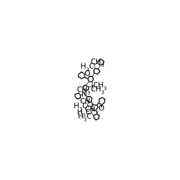 Cc1cccc(C)c1N(c1ccc2c(c1)C(C)(C)c1cc(-c3ccc4c(c3)C(C)(C)c3ccccc3-4)c3oc4ccccc4c3c1-2)c1ccc2c(c1)C(C)(C)c1c3c(c4oc5ccccc5c4c1-2)-c1ccccc1C3(C)C